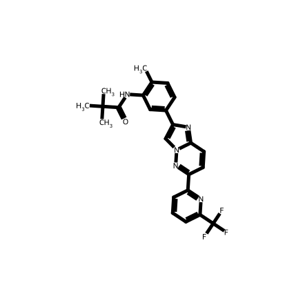 Cc1ccc(-c2cn3nc(-c4cccc(C(F)(F)F)n4)ccc3n2)cc1NC(=O)C(C)(C)C